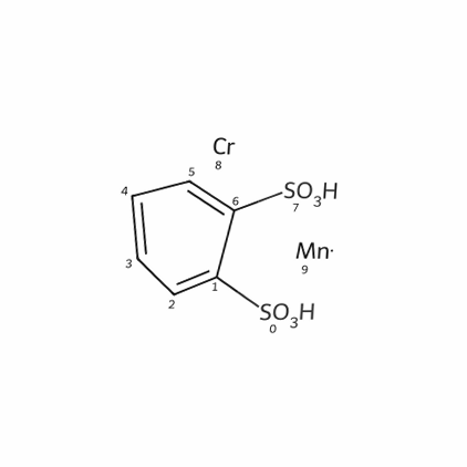 O=S(=O)(O)c1ccccc1S(=O)(=O)O.[Cr].[Mn]